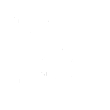 CNc1cc(F)ccc1C(=O)C(Cl)Cl